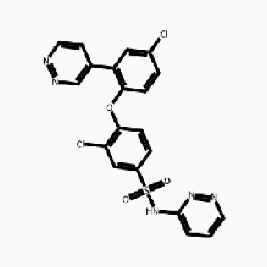 O=S(=O)(Nc1cccnn1)c1ccc(Oc2ccc(Cl)cc2-c2ccnnc2)c(Cl)c1